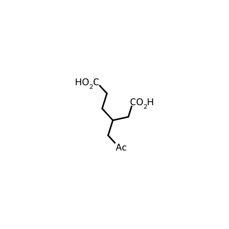 CC(=O)CC(CCC(=O)O)CC(=O)O